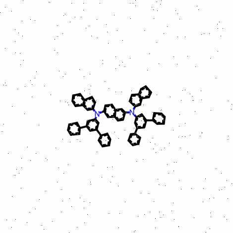 c1ccc(-c2cc(-c3ccccc3)cc(N(c3ccc4ccccc4c3)c3ccc4cc(N(c5cc(-c6ccccc6)cc(-c6ccccc6)c5)c5ccc6ccccc6c5)ccc4c3)c2)cc1